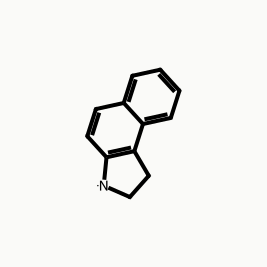 c1ccc2c3c(ccc2c1)[N]CC3